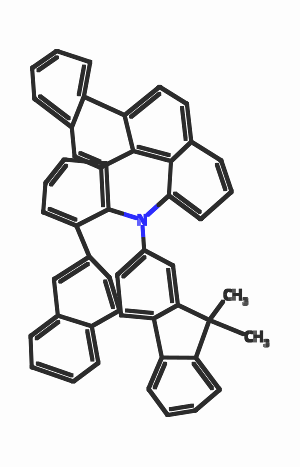 CC1(C)c2ccccc2-c2ccc(N(c3ccccc3-c3ccc4ccccc4c3)c3cccc4ccc5c6ccccc6ccc5c34)cc21